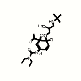 CCN(CC)C(=O)NC1=CC(Cl)(C(C)=O)C(Cl)(OCC(O)CNC(C)(C)C)C=C1